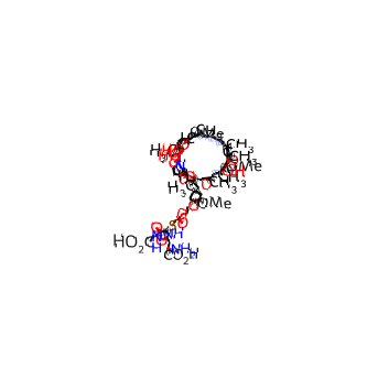 CO[C@H]1C[C@@H]2CC[C@@H](C)[C@@](O)(O2)C(O)C(=O)N2CCCC[C@H]2C(=O)O[C@H]([C@H](C)C[C@@H]2CC[C@@H](OCCOC(=O)CSC[C@H](NC(=O)CC[C@H](N)C(=O)O)C(=O)NCC(=O)O)[C@H](OC)C2)CC(=O)[C@H](C)/C=C(\C)[C@@H](O)[C@@H](OC)C(=O)[C@H](C)C[C@H](C)/C=C/C=C/C=C/1C